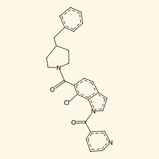 O=C(c1ccc2ccn(C(=O)c3cccnc3)c2c1Cl)N1CCC(Cc2ccccc2)CC1